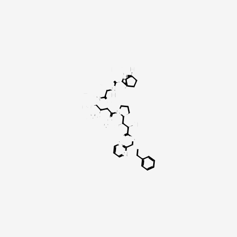 CC[C@H](C)[C@@H]([C@@H](CC(=O)N1CCC[C@H]1[C@H](OC)[C@@H](C)C(=O)N[C@H](CCc1ccccc1)c1ncccn1)OC)N(C)C(=O)[C@@H](NC(=O)[C@@H]1[C@H]2CC[C@H](C2)N1C)C(C)C